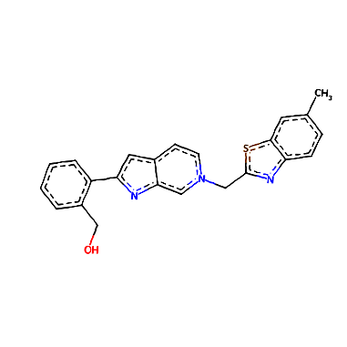 Cc1ccc2nc(Cn3ccc4cc(-c5ccccc5CO)nc-4c3)sc2c1